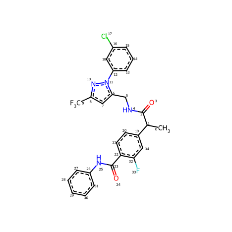 CC(C(=O)NCc1cc(C(F)(F)F)nn1-c1cccc(Cl)c1)c1ccc(C(=O)Nc2ccccc2)c(F)c1